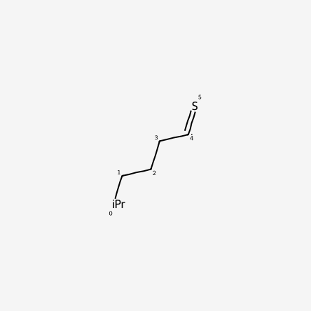 CC(C)CCC[C]=S